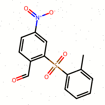 Cc1ccccc1S(=O)(=O)c1cc([N+](=O)[O-])ccc1C=O